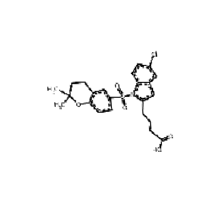 CC1(C)CCc2cc(S(=O)(=O)n3c(CCCC(=O)O)cc4cc(Cl)ccc43)ccc2O1